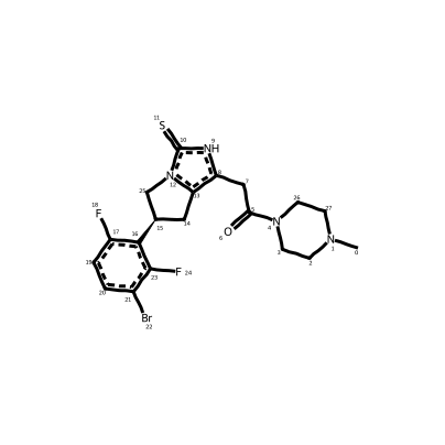 CN1CCN(C(=O)Cc2[nH]c(=S)n3c2C[C@@H](c2c(F)ccc(Br)c2F)C3)CC1